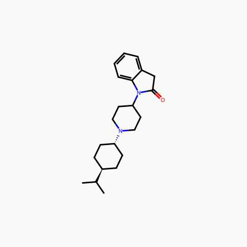 CC(C)[C@H]1CC[C@H](N2CCC(N3C(=O)Cc4ccccc43)CC2)CC1